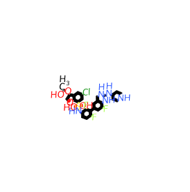 CC(O)OC1COC2C1CC(Cl)CC2S(O)(O)NC1CCC(F)C(C2CC(F)C3NC(NC4CCNCC4)NCC3C2)C1F